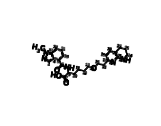 Cn1ncc2c(C(=O)NC(CCCCOCCc3ccc4c(n3)NCCC4)C(=O)O)cccc21